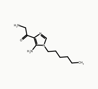 CCCCCCn1cnc(C(=O)CN)c1N